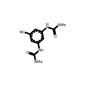 CNC(=O)Nc1cc(C#N)cc(NC(=O)NC)c1